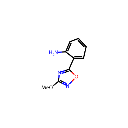 COc1noc(-c2ccccc2N)n1